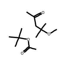 CC(=O)OC(C)(C)C.COC(C)(C)CC(C)=O